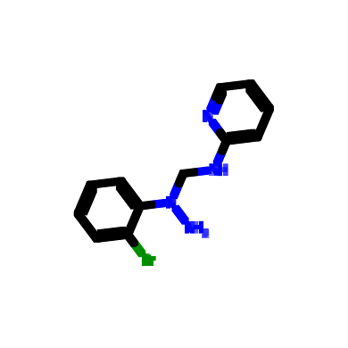 NN(CNc1ccccn1)c1ccccc1Br